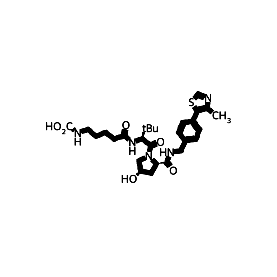 Cc1ncsc1-c1ccc(CNC(=O)[C@@H]2C[C@@H](O)CN2C(=O)[C@@H](NC(=O)CCCCNC(=O)O)C(C)(C)C)cc1